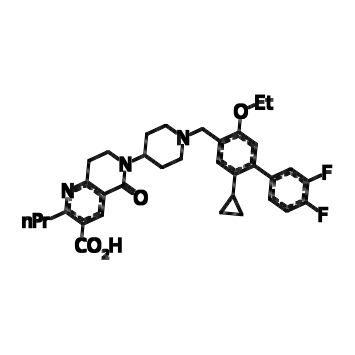 CCCc1nc2c(cc1C(=O)O)C(=O)N(C1CCN(Cc3cc(C4CC4)c(-c4ccc(F)c(F)c4)cc3OCC)CC1)CC2